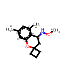 CONC1CC2(CCC2)Oc2cc(C)[c]c(C)c21